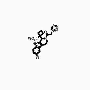 CCOC(=O)C1(C2c3[nH]c4ccc(Cl)cc4c3CCN2C(=O)Cn2cnnn2)CCC1